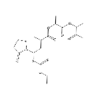 CCOC(=S)SC(CC(C)C(=O)OC(C)C(=O)OC(C)C(C)=O)N1CCCC1=O